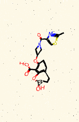 Cc1nc(C(=O)N2CC(Oc3ccc4c(c3C(=O)O)OB(O)CC4)C2)cs1